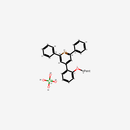 CCCCCOc1ccccc1-c1cc(-c2ccccc2)[s+]c(-c2ccccc2)c1.[O-][Cl+3]([O-])([O-])[O-]